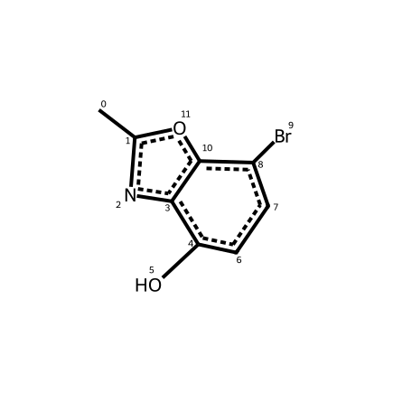 Cc1nc2c(O)ccc(Br)c2o1